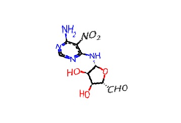 Nc1ncnc(N[C@@H]2O[C@H](C=O)[C@@H](O)[C@H]2O)c1[N+](=O)[O-]